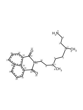 CN(CCN)CCN(C)CCN1C(=O)c2cccc3cccc(c23)C1=O